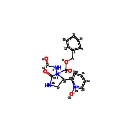 O=CN[N+]1(C(=O)OCc2ccccc2)C(=O)NCC1c1cccc[n+]1[O-]